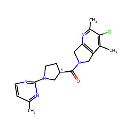 Cc1ccnc(N2CC[C@@H](C(=O)N3Cc4nc(C)c(Cl)c(C)c4C3)C2)n1